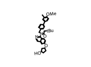 COc1ccc(-c2ccc(CN(C(=O)CC(C)(C)C)c3nccc4cc(OC5CCC(O)C5)ccc34)cc2)cc1C